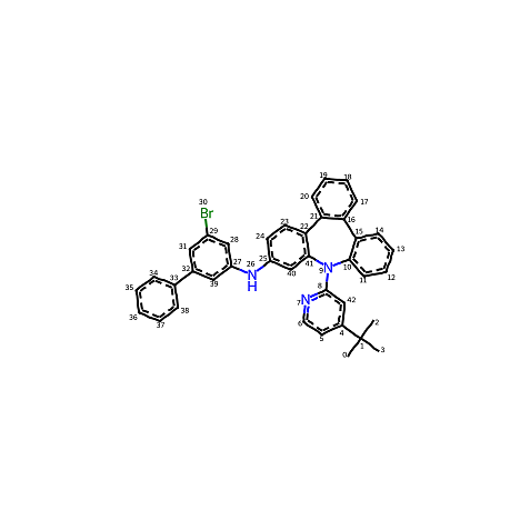 CC(C)(C)c1ccnc(N2c3ccccc3-c3ccccc3-c3ccc(Nc4cc(Br)cc(-c5ccccc5)c4)cc32)c1